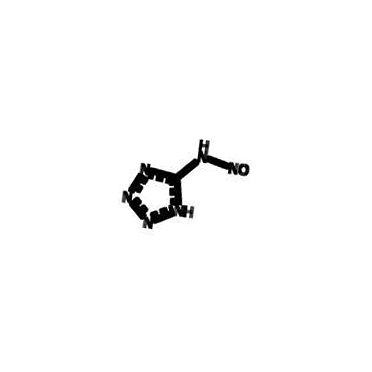 O=NNc1nnn[nH]1